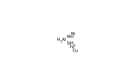 [AlH3].[Cu].[Fe].[Mn].[Ni].[SiH4]